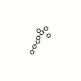 c1ccc(-n2c3ccccc3c3c4ccccc4c(-c4ccc5cc(-c6ccc7c(c6)[nH]c6ccccc67)ccc5c4)cc32)cc1